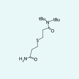 CC(C)(C)N(C(=O)CCSCCC(N)=O)C(C)(C)C